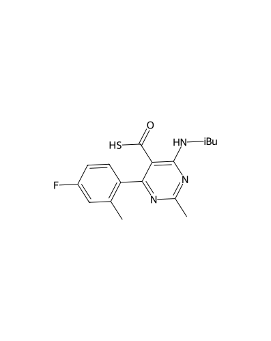 CCC(C)Nc1nc(C)nc(-c2ccc(F)cc2C)c1C(=O)S